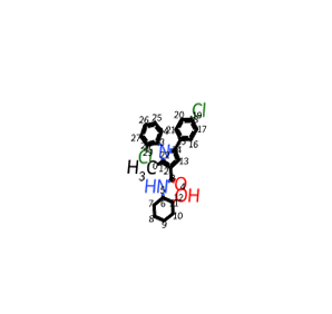 Cc1c(C(=O)NC2CCCCC2O)cc(-c2ccc(Cl)cc2)n1-c1ccccc1Cl